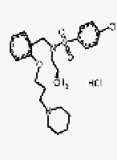 C=CCN(Cc1ccccc1OCCCN1CCCCC1)S(=O)(=O)c1ccc(Cl)cc1.Cl